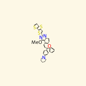 COc1nc(-c2cc3sc4ccsc4c3s2)nc2ccc3c(c12)C=CC(c1ccccc1)(c1ccc(N2CCCCC2)cc1)O3